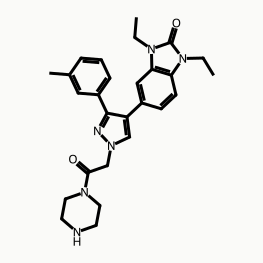 CCn1c(=O)n(CC)c2cc(-c3cn(CC(=O)N4CCNCC4)nc3-c3cccc(C)c3)ccc21